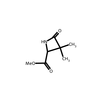 COC(=O)C1NC(=O)C1(C)C